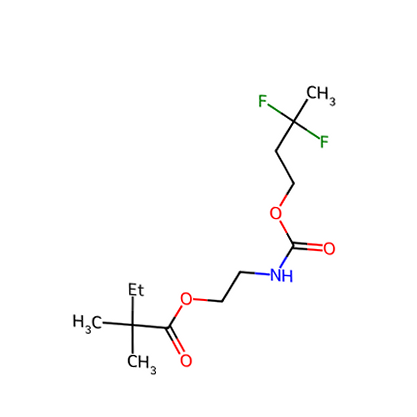 CCC(C)(C)C(=O)OCCNC(=O)OCCC(C)(F)F